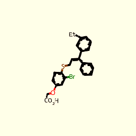 CCc1cccc(C(=CCSc2ccc(OCC(=O)O)cc2Br)c2ccccc2)c1